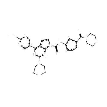 Nc1ncc(-c2nc(N3CCOCC3)nc3c2ccn3C(=O)Nc2cccc(C(=O)N3CCOCC3)c2)cn1